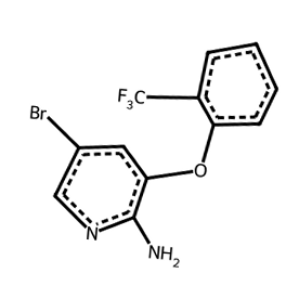 Nc1ncc(Br)cc1Oc1ccccc1C(F)(F)F